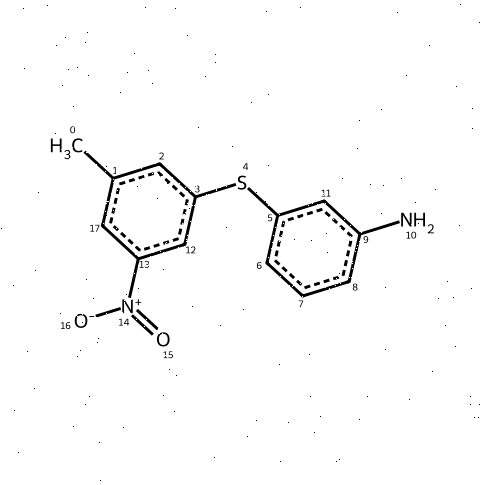 Cc1cc(Sc2cccc(N)c2)cc([N+](=O)[O-])c1